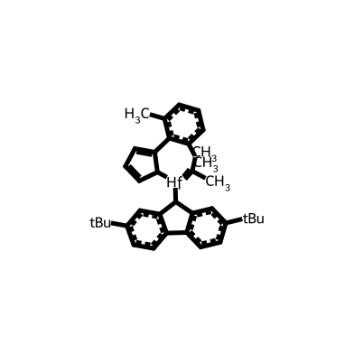 C[C](C)=[Hf]([CH]1C=CC=C1c1c(C)cccc1C)[CH]1c2cc(C(C)(C)C)ccc2-c2ccc(C(C)(C)C)cc21